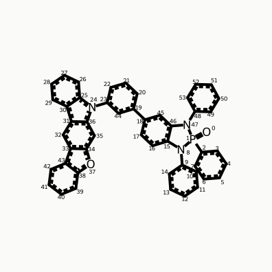 O=P1(c2ccccc2)N(c2ccccc2)c2ccc(-c3cccc(-n4c5ccccc5c5cc6c(cc54)oc4ccccc46)c3)cc2N1c1ccccc1